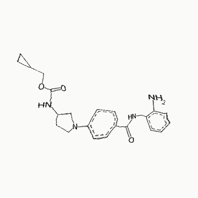 Nc1ccccc1NC(=O)c1ccc(N2CCC(NC(=O)OCC3CC3)C2)cc1